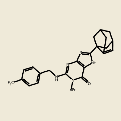 CCCn1c(NCc2ccc(C(F)(F)F)cc2)nc2nc(C34CC5C=C3CC(C5)C4)[nH]c2c1=O